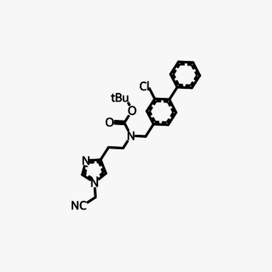 CC(C)(C)OC(=O)N(CCc1cn(CC#N)cn1)Cc1ccc(-c2ccccc2)c(Cl)c1